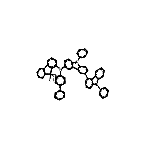 CC1(C)c2ccccc2-c2cccc(N(c3ccc(-c4ccccc4)cc3)c3ccc4c(c3)c3cc(-c5cccc6c5c5ccccc5n6-c5ccccc5)ccc3n4-c3ccccc3)c21